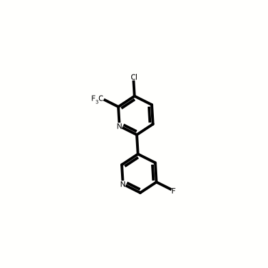 Fc1cncc(-c2ccc(Cl)c(C(F)(F)F)n2)c1